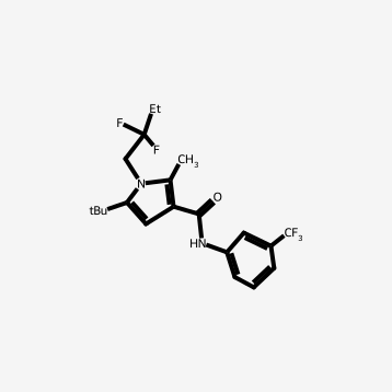 CCC(F)(F)Cn1c(C(C)(C)C)cc(C(=O)Nc2cccc(C(F)(F)F)c2)c1C